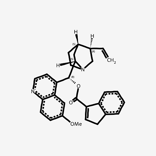 C=C[C@H]1CN2CC[C@H]1C[C@H]2[C@H](OC(=O)C1=CCc2ccccc21)c1ccnc2ccc(OC)cc12